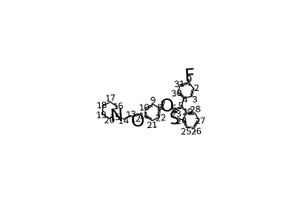 Fc1ccc(-c2c(Oc3ccc(OCCN4CCCCC4)cc3)sc3c[c]ccc23)cc1